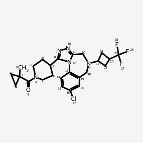 CC1(C(=O)N2CCC(c3nnc4n3-c3ccc(Cl)cc3CN(C3CC(C(F)(F)F)C3)C4)CC2)CC1